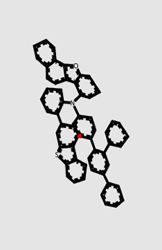 c1ccc(-c2ccc(-c3ccc(N(c4ccccc4-c4ccc5c(c4)sc4ccccc45)c4cccc5oc6c7ccccc7ccc6c45)cc3)c(-c3ccccc3)c2)cc1